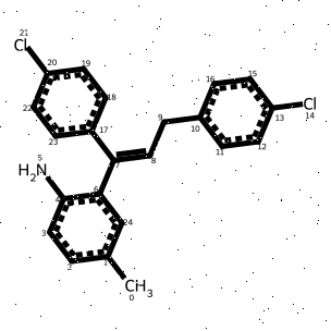 Cc1ccc(N)c(C(=CCc2ccc(Cl)cc2)c2ccc(Cl)cc2)c1